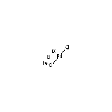 [B].[B].[Cl][Pd][Cl].[Fe]